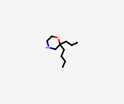 CCCCC1(CCC)CNCCO1